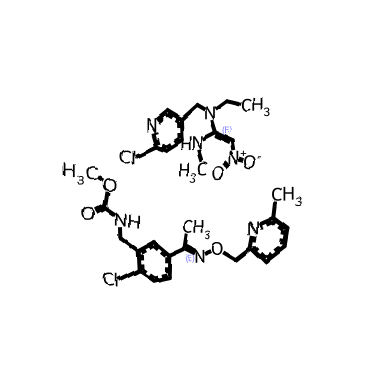 CCN(Cc1ccc(Cl)nc1)/C(=C/[N+](=O)[O-])NC.COC(=O)NCc1cc(/C(C)=N/OCc2cccc(C)n2)ccc1Cl